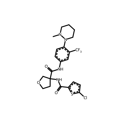 CN1CCCCN1c1ccc(NC(=O)C2(NC(=O)c3ccc(Cl)s3)CCOC2)cc1C(F)(F)F